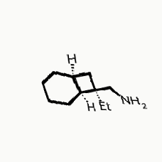 CC[C@@]1(CN)C[C@@H]2CCCC[C@@H]21